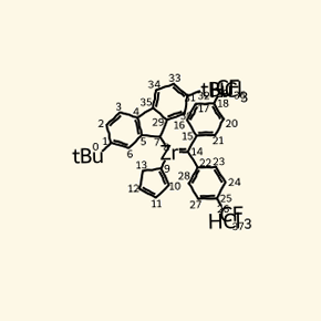 CC(C)(C)c1ccc2c(c1)[CH]([Zr]([C]1=CC=CC1)=[C](c1ccc(C(F)(F)F)cc1)c1ccc(C(F)(F)F)cc1)c1cc(C(C)(C)C)ccc1-2.Cl.Cl